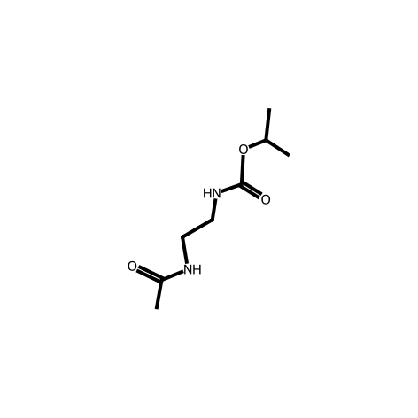 CC(=O)NCCNC(=O)OC(C)C